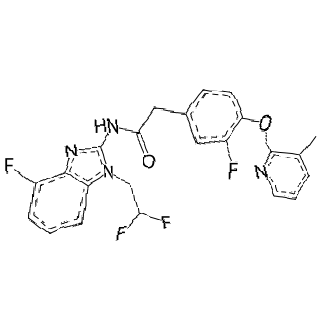 Cc1cccnc1Oc1ccc(CC(=O)Nc2nc3c(F)cccc3n2CC(F)F)cc1F